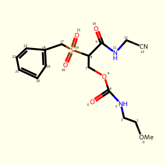 COCCNC(=O)OCC(C(=O)NCC#N)S(=O)(=O)Cc1ccccc1